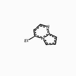 CCc1ccnc2cccn12